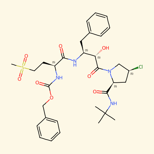 CC(C)(C)NC(=O)[C@@H]1C[C@H](Cl)CN1C(=O)[C@@H](O)[C@H](Cc1ccccc1)NC(=O)[C@H](CCS(C)(=O)=O)NC(=O)OCc1ccccc1